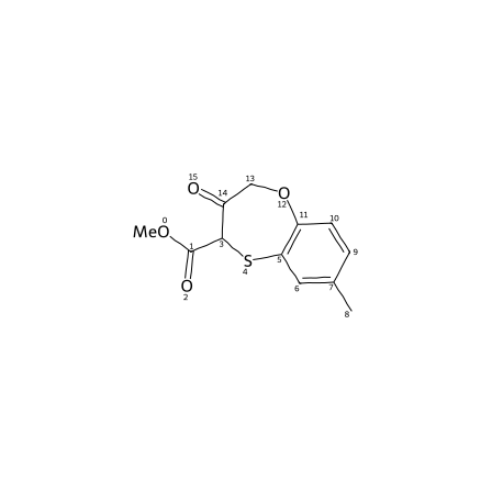 COC(=O)C1Sc2cc(C)ccc2OCC1=O